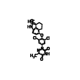 Cc1nn(-c2cc(Cl)c(Oc3ccc4c5c3CCCC5(C)C(=O)N4)c(Cl)c2)c(=O)[nH]c1=O